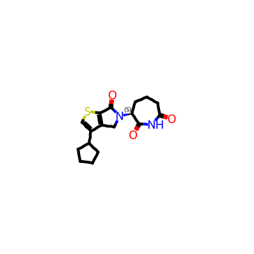 O=C1CCC[C@H](N2Cc3c(C4CCCC4)csc3C2=O)C(=O)N1